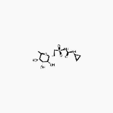 CC1O[C@H](CCS(=O)(=O)NC(=O)NC2CC2)[C@@H](O)[C@H](O)[C@@H]1O